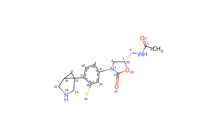 CC(=O)NC[C@H]1CN(c2ccc(C34CNCC3C4)c(F)c2)C(=O)O1